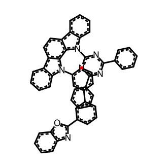 c1ccc(-c2nc(-c3ccccc3)nc(-n3c4ccccc4c4ccc5c6ccccc6n(-c6cccc(-c7cccc(-c8nc9ccccc9o8)c7)c6)c5c43)n2)cc1